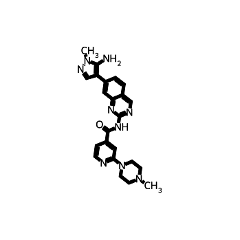 CN1CCN(c2cc(C(=O)Nc3ncc4ccc(-c5cnn(C)c5N)cc4n3)ccn2)CC1